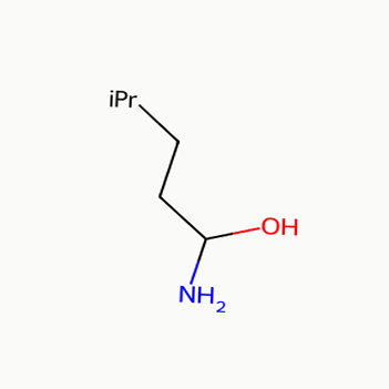 CC(C)CCC(N)O